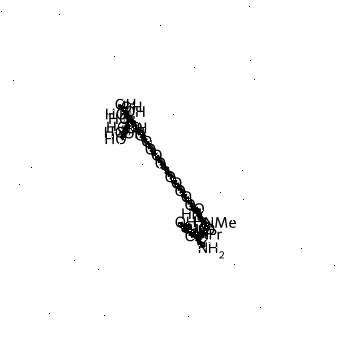 CN[C@@H](CCCCNC(=O)CCOCCOCCOCCOCCOCCCCCOCCOCCOCCOCCOCCOCCN(C[C@H](O)[C@@H](O)[C@H](O)[C@H](O)CO)C[C@H](O)[C@@H](O)[C@H](O)[C@H](O)CO)C(=O)N[C@H](C(=O)N[C@@H](CCCCN)C(=O)Nc1ccc(CO)cc1)C(C)C